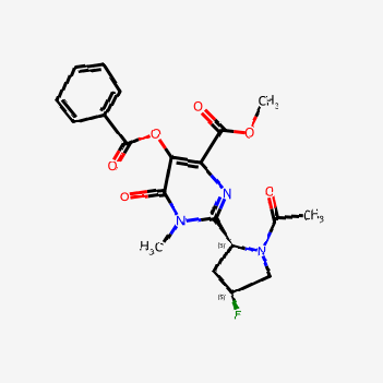 COC(=O)c1nc([C@@H]2C[C@H](F)CN2C(C)=O)n(C)c(=O)c1OC(=O)c1ccccc1